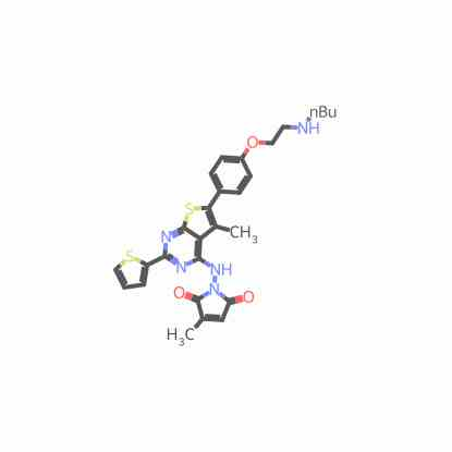 CCCCNCCOc1ccc(-c2sc3nc(-c4cccs4)nc(NN4C(=O)C=C(C)C4=O)c3c2C)cc1